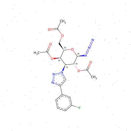 CC(=O)OC[C@H]1O[C@@H](N=[N+]=[N-])[C@H](OC(C)=O)[C@@H](n2cc(-c3cccc(F)c3)nn2)[C@H]1OC(C)=O